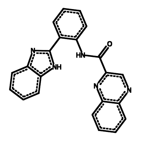 O=C(Nc1ccccc1-c1nc2ccccc2[nH]1)c1cnc2ccccc2n1